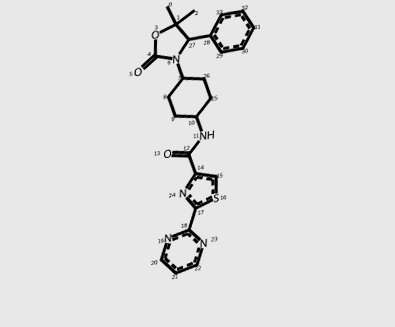 CC1(C)OC(=O)N(C2CCC(NC(=O)c3csc(-c4ncccn4)n3)CC2)C1c1ccccc1